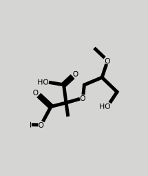 COC(CO)COC(C)(C(=O)O)C(=O)OI